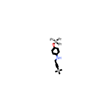 CC(C)[Si](Oc1ccc(NCC#C[Si](C)(C)C)cc1)(C(C)C)C(C)C